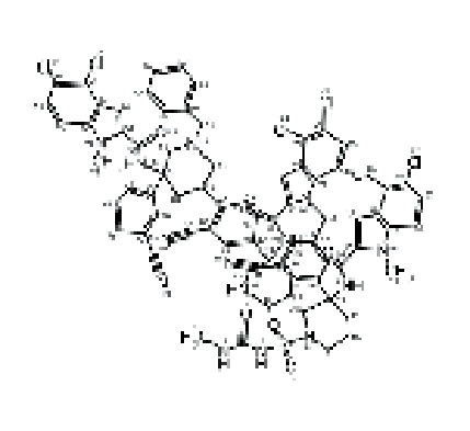 CNC(=O)NS(=O)(=O)N1CCCC(NC(=O)c2cc3c(Cl)c(Cl)ccc3n2C)(c2cc(C#N)cc(Cn3c(C(=O)NC4(c5ccc(C6CN(Cc7ccccc7)CC(NC(=O)c7cc8c(Cl)c(Cl)ccc8n7C)(c7cccc(C#N)c7)C6)c(C#N)c5)CCCNC4)cc4c(Cl)c(Cl)ccc43)c2)C1